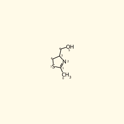 CC1=NC(CO)CS1